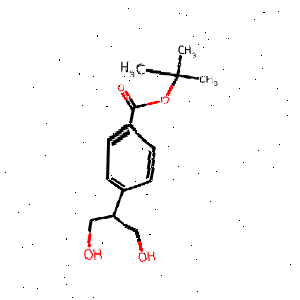 CC(C)(C)OC(=O)c1ccc(C(CO)CO)cc1